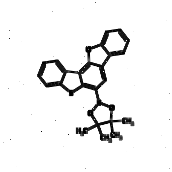 CC1(C)OB(c2cc3c4ccccc4oc3c3c2sc2ccccc23)OC1(C)C